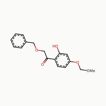 COCOc1ccc(C(=O)COCc2ccccc2)c(O)c1